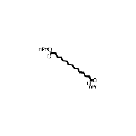 CCCOC(=O)CCCCCCCCCCCCCC(=O)OCCC